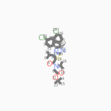 CC(C)C1=C(C(=O)N(CC(=O)OC(C)(C)C)C(C)C)SC2=N[C@@](C)(c3ccc(Cl)cc3)[C@@H](c3ccc(Cl)cc3)N21